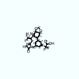 NCC(Cc1n[nH]c(=O)n1Cc1cccc(-c2ccc3c(c2)OCO3)c1)=C(F)F.O=C(O)C(F)(F)F